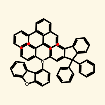 c1ccc(-c2cccc3cccc(-c4ccccc4N(c4ccc5c(c4)C(c4ccccc4)(c4ccccc4)c4ccccc4-5)c4cccc5oc6ccccc6c45)c23)cc1